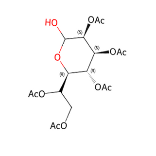 CC(=O)OCC(OC(C)=O)[C@H]1OC(O)[C@@H](OC(C)=O)[C@@H](OC(C)=O)[C@@H]1OC(C)=O